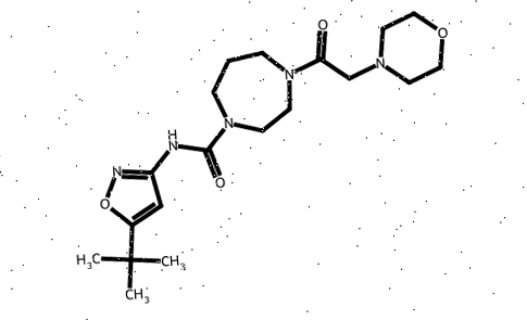 CC(C)(C)c1cc(NC(=O)N2CCCN(C(=O)CN3CCOCC3)CC2)no1